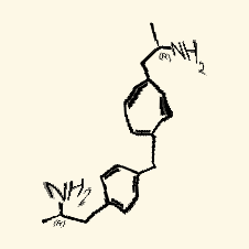 C[C@@H](N)Cc1ccc(Cc2ccc(C[C@@H](C)N)cc2)cc1